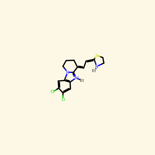 CCN1CCSC1=CC=C1CCCn2c1[n+](CC)c1cc(Cl)c(Cl)cc12